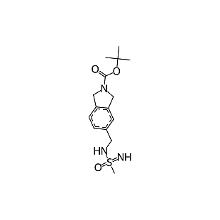 CC(C)(C)OC(=O)N1Cc2ccc(CNS(C)(=N)=O)cc2C1